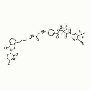 CC(O)(CS(=O)(=O)c1ccc(NCCC(=O)NCCCCCc2cccc3c2CN(C2CCC(=O)NC2=O)C3=O)cc1)C(=O)Nc1ccc(C#N)c(C(F)(F)F)c1